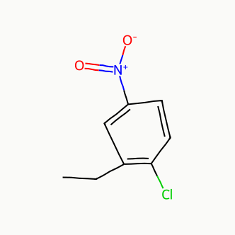 CCc1cc([N+](=O)[O-])ccc1Cl